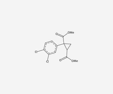 COC(=O)C1CC1(C(=O)OC)c1ccc(Cl)c(Cl)c1